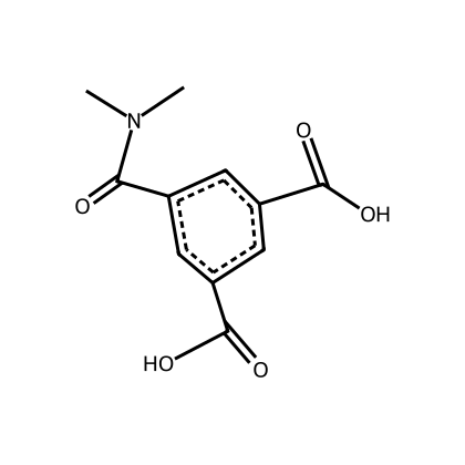 CN(C)C(=O)c1cc(C(=O)O)cc(C(=O)O)c1